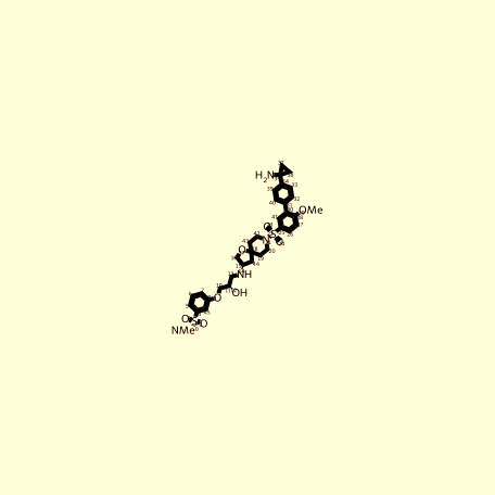 CNS(=O)(=O)c1cccc(OC[C@@H](O)CN[C@@H]2COC3(CCN(S(=O)(=O)c4ccc(OC)c(-c5ccc(C6(N)CC6)cc5)c4)CC3)C2)c1